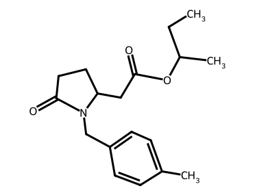 CCC(C)OC(=O)CC1CCC(=O)N1Cc1ccc(C)cc1